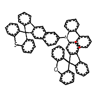 c1ccc(-c2ccccc2N(c2ccc3c(c2)C2(c4ccccc4Oc4ccccc42)c2ccccc2-3)c2ccc3cc4c(cc3c2)-c2ccccc2C42c3ccccc3Sc3ccccc32)cc1